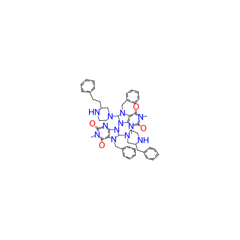 Cn1c2c(c(=O)n(C)c1=O)N(Cc1ccccc1)C(N1CCNC(CCc3ccccc3)C1)N2N1c2c(c(=O)n(C)c(=O)n2C)N(Cc2ccccc2)C1N1CCNC(Cc2ccccc2)C1